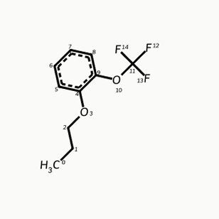 CCCOc1cc[c]cc1OC(F)(F)F